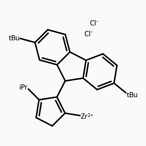 CC(C)C1=CC[C]([Zr+2])=C1C1c2cc(C(C)(C)C)ccc2-c2ccc(C(C)(C)C)cc21.[Cl-].[Cl-]